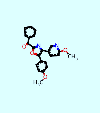 COc1ccc(-c2oc(C(=O)c3ccccc3)nc2-c2ccc(OC)nc2)cc1